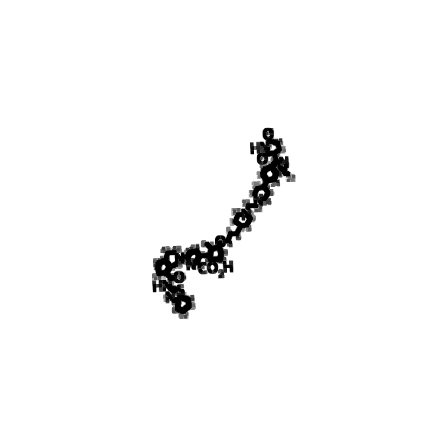 Cc1c(OCCCC2CCN(CCN3CCC(c4ccc5c(C6CCC(=O)NC6=O)nn(C)c5c4)CC3)CC2)cccc1-c1ccc(N2CCc3cccc(C(=O)Nc4nc5ccccc5s4)c3C2)nc1C(=O)O